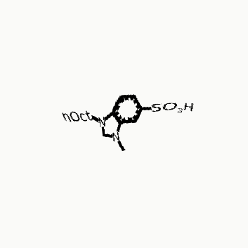 CCCCCCCCN1CN(C)c2cc(S(=O)(=O)O)ccc21